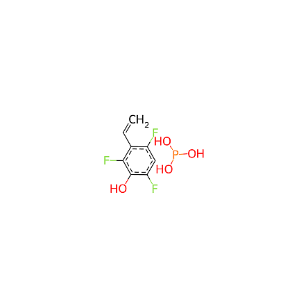 C=Cc1c(F)cc(F)c(O)c1F.OP(O)O